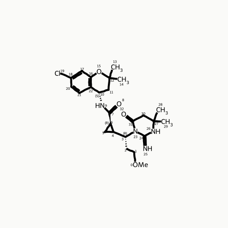 COCC[C@H](C1C[C@H]1C(=O)N[C@H]1CC(C)(C)Oc2cc(Cl)ccc21)N1C(=N)NC(C)(C)CC1=O